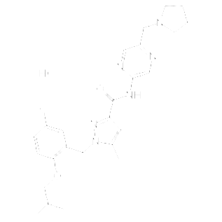 Cc1cc(C(=O)Nc2cnc(CN3CCCC3)cn2)nn1Cc1cc(Cl)ccc1OCC(C)C.Cl